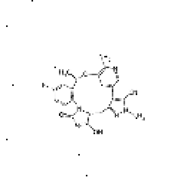 C[C@H]1Oc2cc(cnc2N)-c2c(nn(C)c2C#N)Cn2c(O)nc(=O)n2-c2ccc(F)cc21